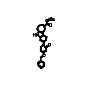 CC(C)(C)OC(=O)N1CCCc2[nH]c3cc(-n4ccc(OCc5ccccc5)cc4=O)ccc3c2C1